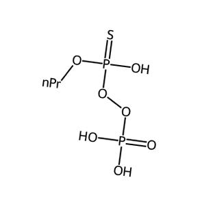 CCCOP(O)(=S)OOP(=O)(O)O